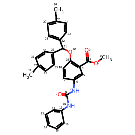 COC(=O)c1cc(NC(=O)Nc2ccccc2)ccc1OC(c1ccc(C)cc1)c1ccc(C)cc1